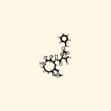 C=N/C=C1/CC(NC(=O)C(NC(=O)OCc2ccccc2)C(C)C)C(=O)C(=O)NCCC/C1=N/C